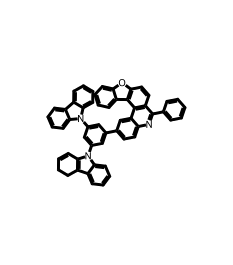 C1=Cc2c(c3ccccc3n2-c2cc(-c3ccc4nc(-c5ccccc5)c5ccc6oc7ccccc7c6c5c4c3)cc(-n3c4ccccc4c4ccccc43)c2)CC1